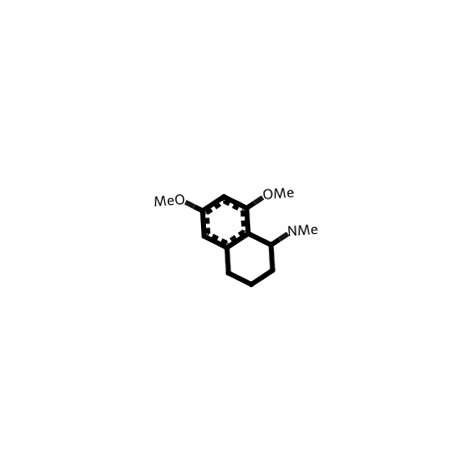 CNC1CCCc2cc(OC)cc(OC)c21